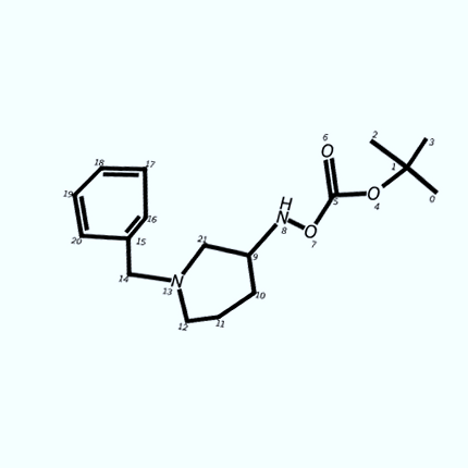 CC(C)(C)OC(=O)ONC1CCCN(Cc2ccccc2)C1